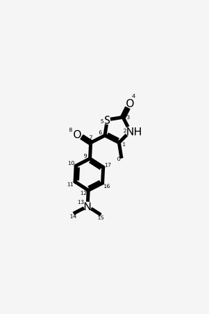 Cc1[nH]c(=O)sc1C(=O)c1ccc(N(C)C)cc1